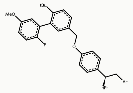 CCC[C@H](CC(C)=O)c1ccc(OCc2ccc(C(C)(C)C)c(-c3cc(OC)ccc3F)c2)cc1